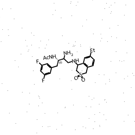 CCc1ccc2c(c1)C(NCC(N)[C@H](Cc1cc(F)cc(F)c1)NC(C)=O)CS(=O)(=O)C2